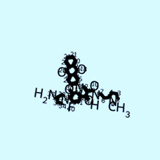 CN1CCCC1CCNC(=O)c1cn2c3cc4c(=O)c5ccccc5c(=O)c4cc3oc3c(N4CCC(N)C4)c(F)cc(c1=O)c32